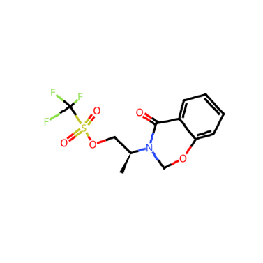 C[C@@H](COS(=O)(=O)C(F)(F)F)N1COc2ccccc2C1=O